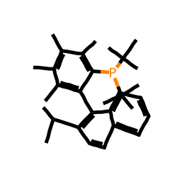 Cc1c(C)c(C)c(P(C(C)(C)C)C(C)(C)C)c(-c2c(C(C)C)ccc3ccccc23)c1C